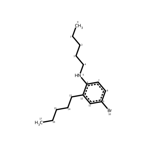 CCCCCNc1ccc(Br)cc1CCCCC